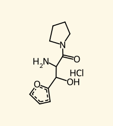 Cl.NC(C(=O)N1CCCC1)C(O)c1ccco1